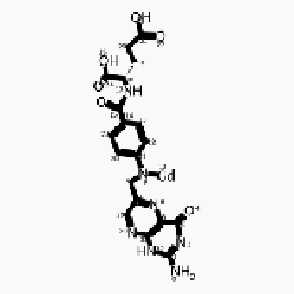 Nc1nc(=O)c2nc(C[N]([Gd])c3ccc(C(=O)N[C@@H](CCC(=O)O)C(=O)O)cc3)cnc2[nH]1